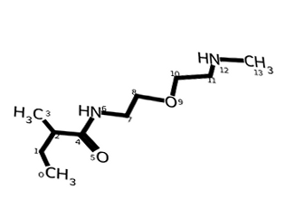 CCC(C)C(=O)NCCOCCNC